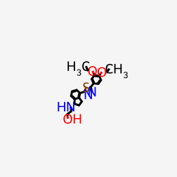 CCOc1ccc(-c2nnc(-c3cccc4c3CCC4NCCO)s2)cc1OCC